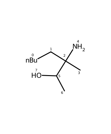 CCCCCC(C)(N)C(C)O